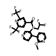 COc1ncccc1-c1ccncc1N(CC(F)F)C(=O)c1cc(C(F)(F)F)nc(C(F)(F)F)c1